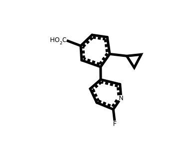 O=C(O)c1ccc(C2CC2)c(-c2ccc(F)nc2)c1